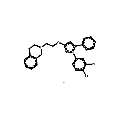 Cl.Clc1ccc(-n2nc(OCCN3CCc4ccccc4C3)cc2-c2ccccc2)cc1Cl